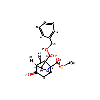 CC(C)(C)OC(=O)N1C2CC[C@H](C(=O)C2)[C@H]1C(=O)OCc1ccccc1